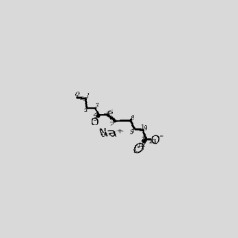 CCCCC(=O)CCCCCC(=O)[O-].[Na+]